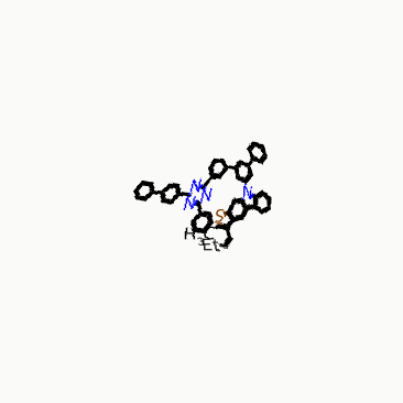 CC/C=C\c1c(C)sc2cc3c(cc12)c1ccccc1n3-c1cc(-c2ccccc2)cc(-c2cccc(-c3nc(-c4ccccc4)nc(-c4ccc(-c5ccccc5)cc4)n3)c2)c1